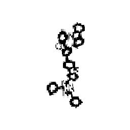 c1ccc(-c2nc(-c3ccccc3)nc(-c3ccc4sc5cc(-c6ccc7c(c6)oc6cccc(-n8c9ccccc9c9ccccc98)c67)ccc5c4c3)n2)cc1